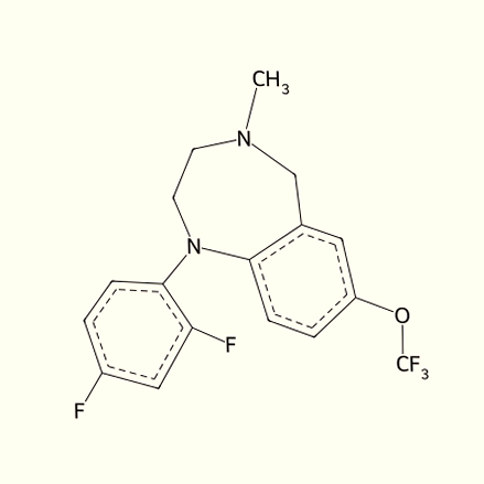 CN1CCN(c2ccc(F)cc2F)c2ccc(OC(F)(F)F)cc2C1